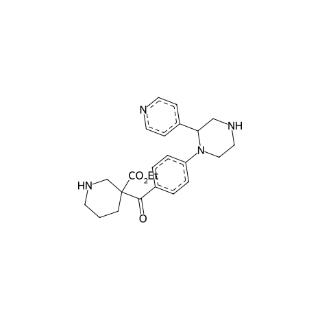 CCOC(=O)C1(C(=O)c2ccc(N3CCNCC3c3ccncc3)cc2)CCCNC1